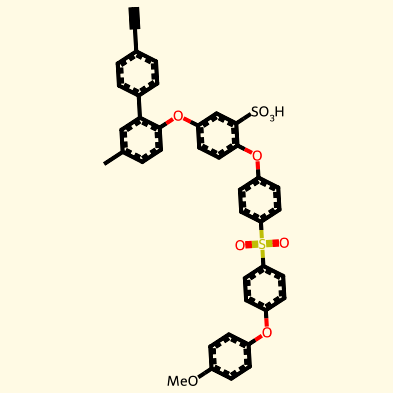 C#Cc1ccc(-c2cc(C)ccc2Oc2ccc(Oc3ccc(S(=O)(=O)c4ccc(Oc5ccc(OC)cc5)cc4)cc3)c(S(=O)(=O)O)c2)cc1